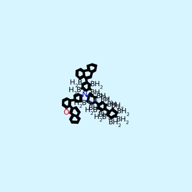 B/C(CN(c1ccc(-c2cccc3oc4c5ccccc5ccc4c23)cc1)c1c(B)c(B)c(-c2cc3ccccc3c3ccccc23)c(B)c1B)=C(B)/C(=C(/B)C#C)c1c(B)c(B)c(-c2c(B)c(B)c(B)c(B)c2B)c(B)c1B